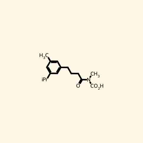 Cc1cc(CCCC(=O)N(C)C(=O)O)cc(C(C)C)c1